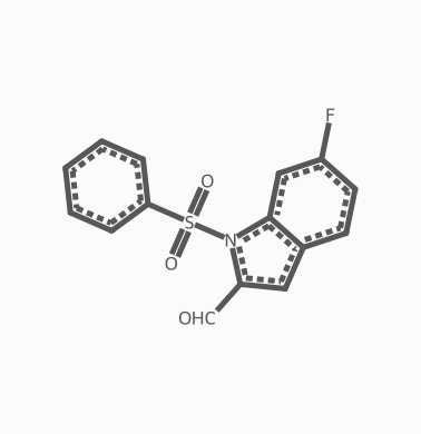 O=Cc1cc2ccc(F)cc2n1S(=O)(=O)c1ccccc1